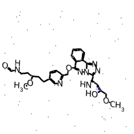 COC/C(O)=C/C(=N)c1nnc2c3ccccc3c(OCc3ccc(CCC(CCNC=O)OC)cn3)nn12